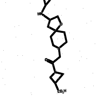 O=C(O)C1CN(C(=O)CN2CCC3(CC2)CC(NC2CC2)CO3)C1